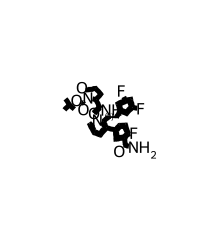 CC(C)(C)OC(=O)N1C(=O)CCC1C(=O)N[C@@H](Cc1cc(F)cc(F)c1)c1ncccc1-c1ccc(F)c(C(N)=O)c1